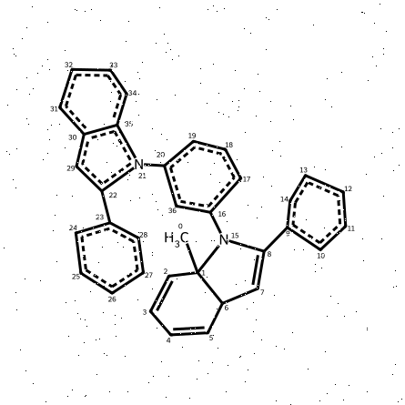 CC12C=CC=CC1C=C(c1ccccc1)N2c1cccc(-n2c(-c3ccccc3)cc3ccccc32)c1